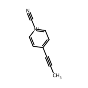 CC#Cc1cc[n+](C#N)cc1